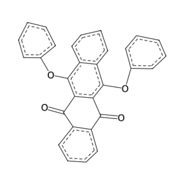 O=C1c2ccccc2C(=O)c2c1c(Oc1ccccc1)c1ccccc1c2Oc1ccccc1